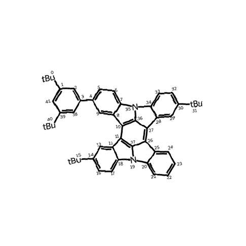 CC(C)(C)c1cc(-c2ccc3c(c2)c2c4c5cc(C(C)(C)C)ccc5n5c6ccccc6c(c6c7cc(C(C)(C)C)ccc7n3c26)c45)cc(C(C)(C)C)c1